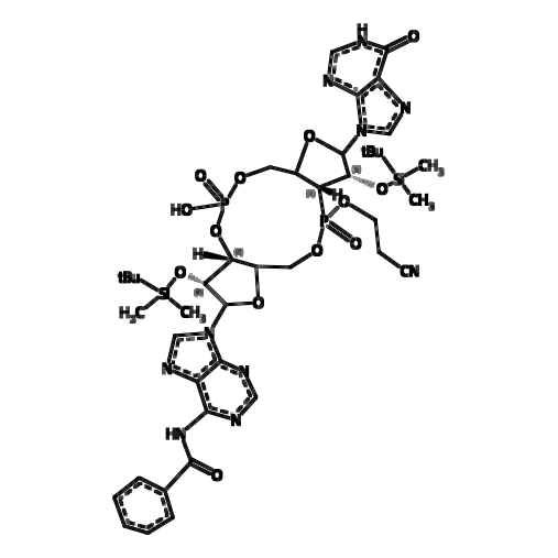 CC(C)(C)[Si](C)(C)O[C@H]1C(n2cnc3c(NC(=O)c4ccccc4)ncnc32)OC2COP(=O)(OCCC#N)[C@@H]3C(COP(=O)(O)O[C@H]21)OC(n1cnc2c(=O)[nH]cnc21)[C@@H]3O[Si](C)(C)C(C)(C)C